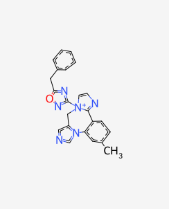 Cc1ccc2c(c1)-n1cncc1C[N+]1(c3noc(Cc4ccccc4)n3)C=CN=C21